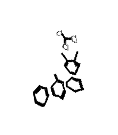 C1=CCCCC1.Cc1ccccc1.Cc1ccccc1C.ClC(Cl)Cl.c1ccccc1